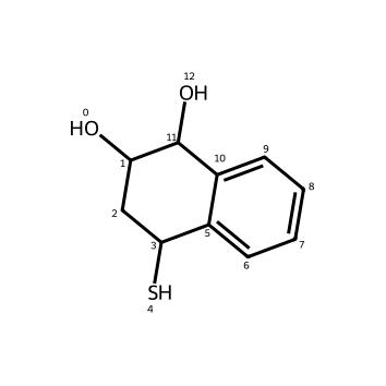 OC1CC(S)c2ccccc2C1O